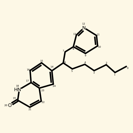 CCCCCCC(Cc1cccnc1)c1ccc2[nH]c(=O)ccc2c1